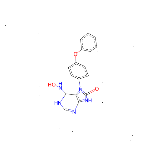 O=c1[nH]c2c(n1-c1ccc(Oc3ccccc3)cc1)C(NO)NC=N2